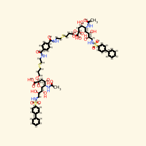 CC(=O)N[C@H]1[C@H]([C@H](O)[C@H](O)CNS(=O)(=O)c2ccc(-c3ccccc3)cc2)O[C@@](OCCCSCCNC(=O)c2ccc(C(=O)NCCSCCCO[C@]3(C(=O)O)C[C@H](O)[C@@H](NC(C)=O)[C@H]([C@H](O)[C@H](O)CNS(=O)(=O)c4ccc(-c5ccccc5)cc4)O3)cc2)(C(=O)O)C[C@@H]1O